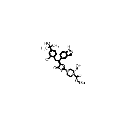 CC(C)(C)OC(=O)N1CCN(C2=NC(=O)C(=C(Cc3ccc(C(C)(C)O)cc3Cl)c3ccc4[nH]ncc4c3)S2)C[C@@H]1CO